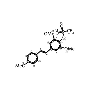 COc1ccc(C=Cc2cc(OC)c(OS(=O)(=O)C(F)(F)F)c(OC)c2)cc1